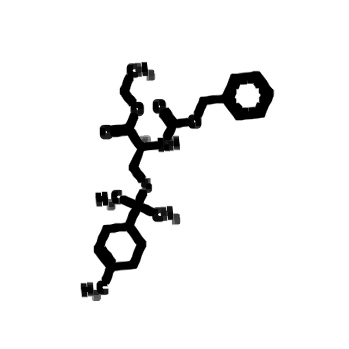 CCOC(=O)[C@H](CSC(C)(C)C1CC=C(C)CC1)NC(=O)OCc1ccccc1